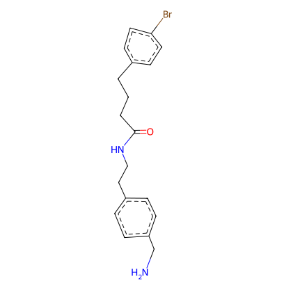 NCc1ccc(CCNC(=O)CCCc2ccc(Br)cc2)cc1